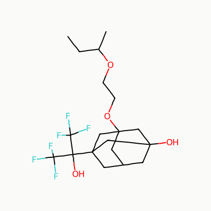 CCC(C)OCCOC12CC3CC(O)(C1)CC(C(O)(C(F)(F)F)C(F)(F)F)(C3)C2